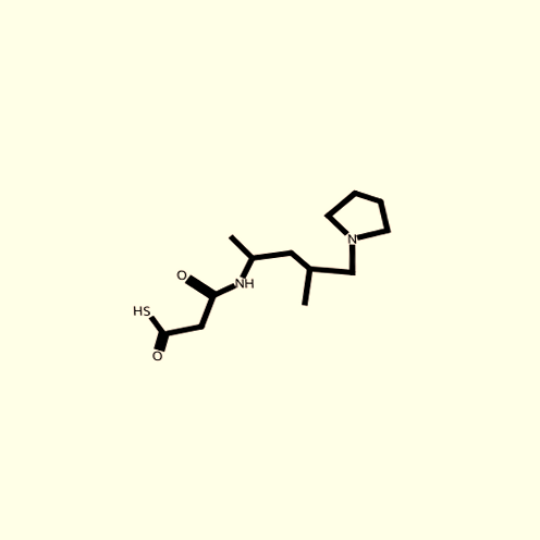 CC(CC(C)NC(=O)CC(=O)S)CN1CCCC1